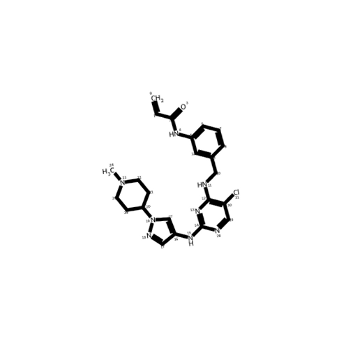 C=CC(=O)Nc1cccc(CNc2nc(Nc3cnn(C4CCN(C)CC4)c3)ncc2Cl)c1